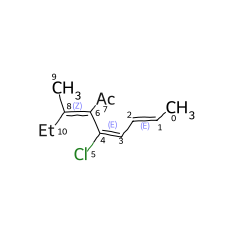 C/C=C/C=C(Cl)\C(C(C)=O)=C(\C)CC